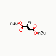 CCCCOC(=O)/C=C(\CC)C(=O)OCCCC